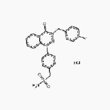 Cl.NS(=O)(=O)Cc1ccc(-c2nn(Cc3ccc(F)cc3)c(=O)c3ccccc23)cc1